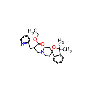 CCOC(=O)C(Cc1ccccn1)CN1CCC2(CC1)OC(C)(C)c1ccccc12